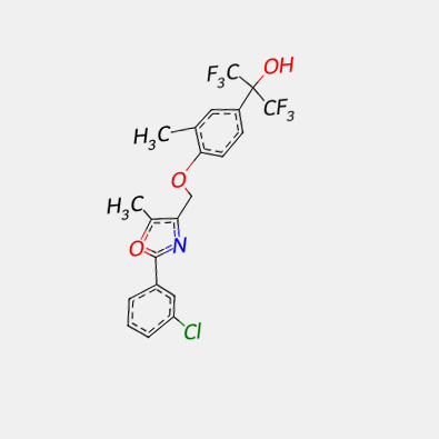 Cc1cc(C(O)(C(F)(F)F)C(F)(F)F)ccc1OCc1nc(-c2cccc(Cl)c2)oc1C